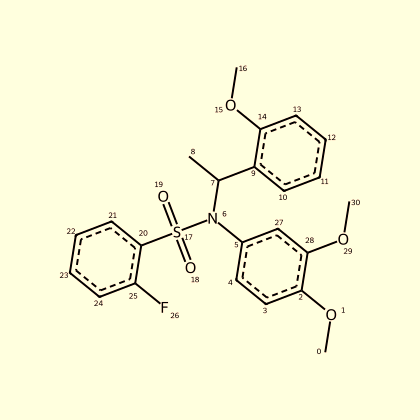 COc1ccc(N(C(C)c2ccccc2OC)S(=O)(=O)c2ccccc2F)cc1OC